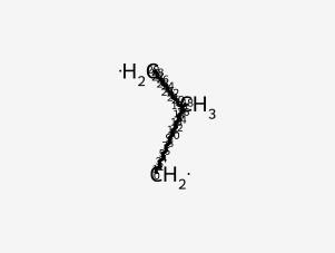 [CH2]CCCCCCCCCCCCCC=CCC(C)CCCCCCCCCC[CH2]